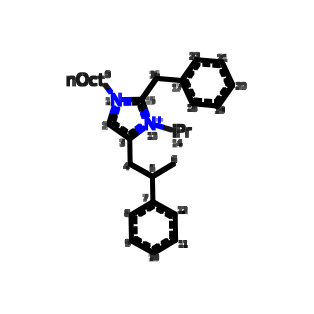 CCCCCCCCn1cc(CC(C)c2ccccc2)[n+](C(C)C)c1Cc1ccccc1